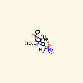 CCOC(=O)C1=CN(C(=O)c2ccc(F)cc2)CC(C)(C)c2c1[nH]c1cc(N(C)C(=O)N3CCOCC3)ccc21